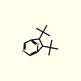 CC(C)(C)C1c2cncc(n2)C1C(C)(C)C